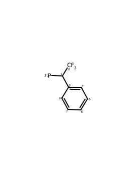 FC(F)(F)C([P])c1ccccc1